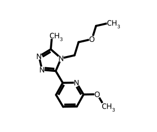 CCOCCn1c(C)nnc1-c1cccc(OC)n1